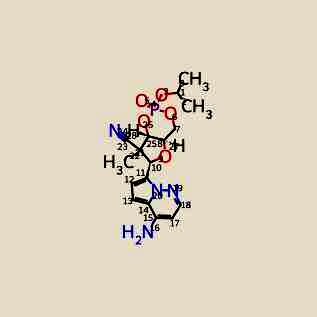 CC(C)O[P@@]1(=O)OC[C@H]2O[C@@H](c3ccc4c(N)ccnn34)[C@](C)(C#N)[C@@H]2O1